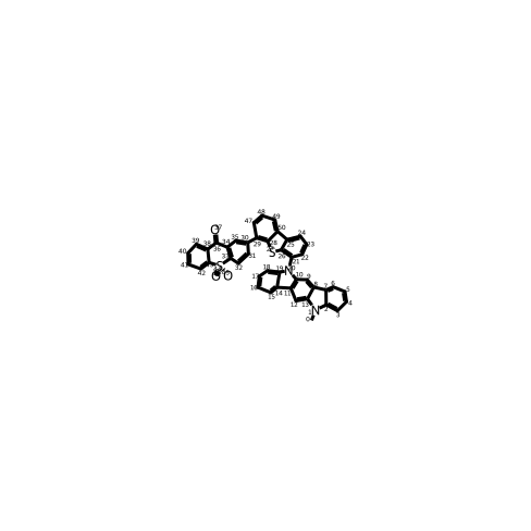 Cn1c2ccccc2c2cc3c(cc21)c1ccccc1n3-c1cccc2c1sc1c(-c3ccc4c(c3)C(=O)c3ccccc3S4(=O)=O)cccc12